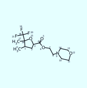 CC1CC(C(=O)OCCN2CCOCC2)OC1(C)C(F)(F)F